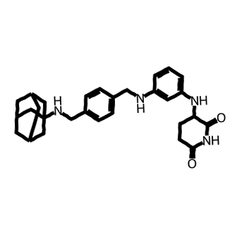 O=C1CCC(Nc2cccc(NCc3ccc(CNC45CC6CC(CC(C6)C4)C5)cc3)c2)C(=O)N1